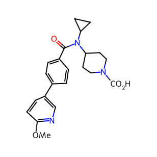 COc1ccc(-c2ccc(C(=O)N(C3CC3)C3CCN(C(=O)O)CC3)cc2)cn1